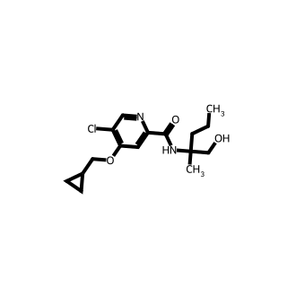 CCCC(C)(CO)NC(=O)c1cc(OCC2CC2)c(Cl)cn1